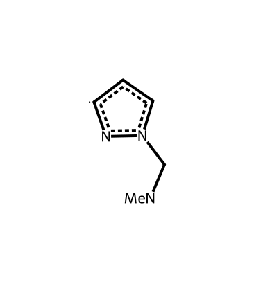 CNCn1cc[c]n1